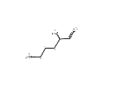 C=CC(O)[CH]CCO